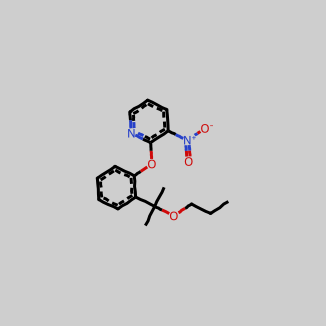 CCCOC(C)(C)c1ccccc1Oc1ncccc1[N+](=O)[O-]